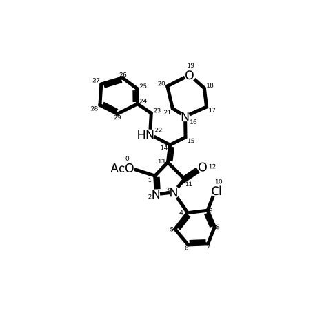 CC(=O)OC1=NN(c2ccccc2Cl)C(=O)C1=C(CN1CCOCC1)NCc1ccccc1